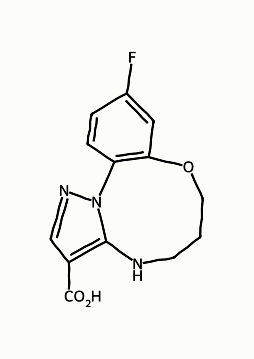 O=C(O)c1cnn2c1NCCCOc1cc(F)ccc1-2